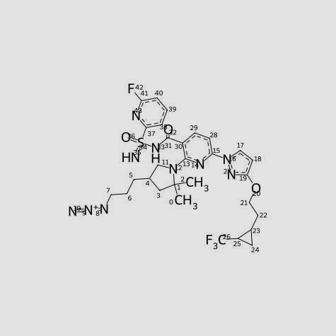 CC1(C)CC(CCCN=[N+]=[N-])CN1c1nc(-n2ccc(OCCC3CC3C(F)(F)F)n2)ccc1C(=O)NS(=N)(=O)c1cccc(F)n1